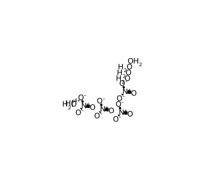 O.O.O.O.O.O=[N+]([O-])[O-].O=[N+]([O-])[O-].O=[N+]([O-])[O-].O=[N+]([O-])[O-].[Hf+4]